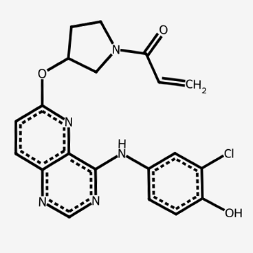 C=CC(=O)N1CCC(Oc2ccc3ncnc(Nc4ccc(O)c(Cl)c4)c3n2)C1